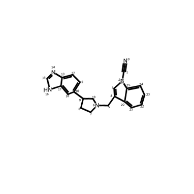 N#CB1C=C(CN2CCC(c3ccc4nc[nH]c4c3)C2)c2ccccc21